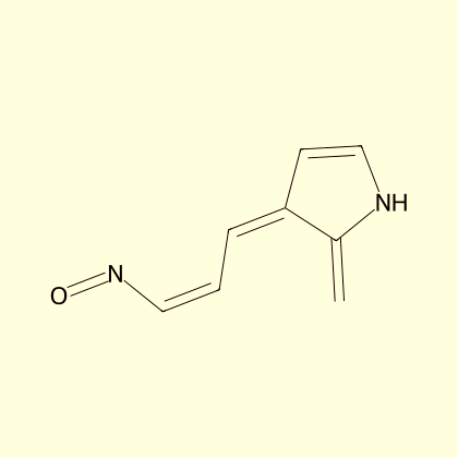 C=c1[nH]cc/c1=C/C=C\N=O